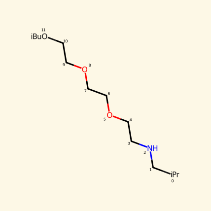 CC(C)CNCCOCCOCCOCC(C)C